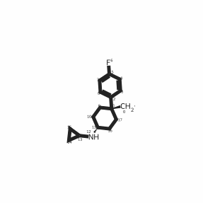 [CH2][C@]1(c2ccc(F)cc2)CC[C@@H](NC2CC2)CC1